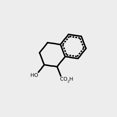 O=C(O)C1c2ccccc2CCC1O